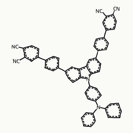 N#Cc1ccc(-c2ccc(-c3ccc4c(c3)c3cc(-c5ccc(-c6ccc(C#N)c(C#N)c6)cc5)ccc3n4-c3ccc(N(c4ccccc4)c4ccccc4)cc3)cc2)cc1C#N